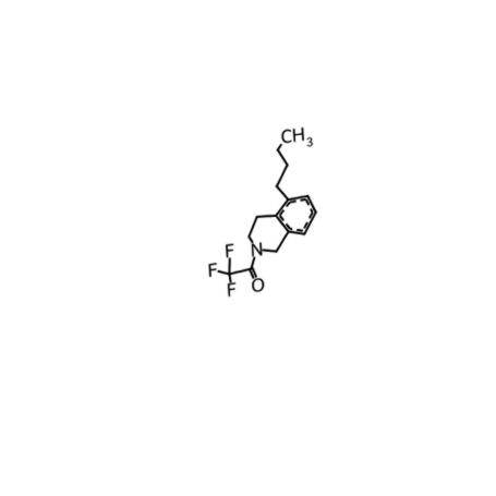 CCCCc1cccc2c1CCN(C(=O)C(F)(F)F)C2